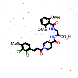 COc1cccc(OC)c1C(=O)NCC(NC(=O)C1CCN(C(=O)C=Cc2ccc(SC)c(Cl)c2Cl)CC1)C(=O)O